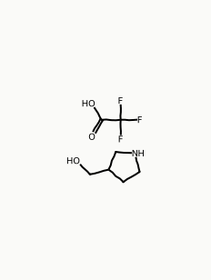 O=C(O)C(F)(F)F.OCC1CCNC1